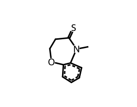 CN1C(=S)CCOc2ccccc21